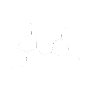 COc1cc(Cc2cc([N+](=O)[O-])ccc2OC(=O)O)cc(OC)c1